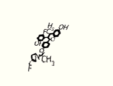 CC1=C(c2cc(O)ccc2F)C(c2ccc(OC[C@H](C)N3CC[C@@H](CF)C3)cc2)Oc2ccc(O)cc21